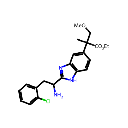 CCOC(=O)C(C)(COC)c1ccc2[nH]c(C(N)Cc3ccccc3Cl)nc2c1